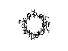 C/C=C/C[C@@H](C)[C@H](C)[C@@H]1C(=O)N[C@@H](CC)C(=O)N(C)CC(=O)N(C)[C@@H](CC(C)C)C(=O)NC(C(C)C)C(=O)N(C)[C@@H](CC(C)C)C(=O)N[C@@H](C)C(=O)N[C@@H](C)C(=O)N(C)[C@@H](CC(C)C)C(=O)N(C)[C@@H](CC(C)C)C(=O)N(C)C(C(C)O)C(=O)N1C